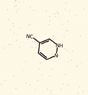 N#CC1=CN[N]C=C1